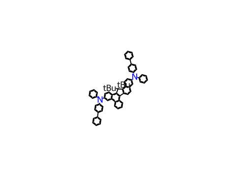 CC(C)(C)C1(C(C)(C)C)c2c(ccc3cc(N(c4ccccc4)c4ccc(-c5ccccc5)cc4)ccc23)-c2c1c1ccc(N(c3ccccc3)c3ccc(-c4ccccc4)cc3)cc1c1ccccc21